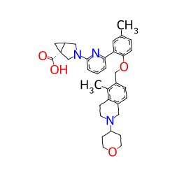 Cc1ccc(OCc2ccc3c(c2C)CCN(C2CCOCC2)C3)c(-c2cccc(N3CC4C[C@]4(C(=O)O)C3)n2)c1